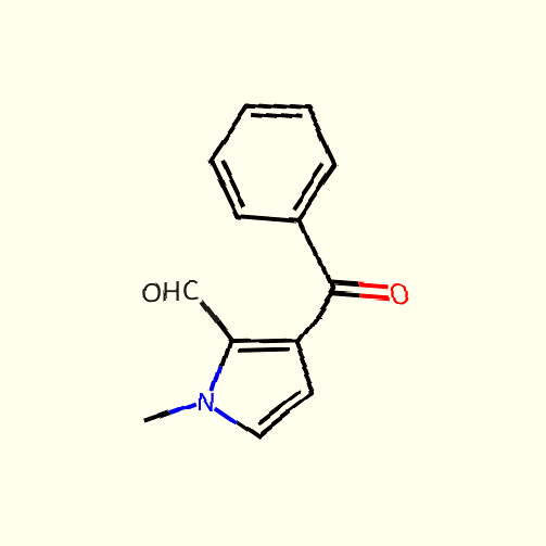 Cn1ccc(C(=O)c2ccccc2)c1C=O